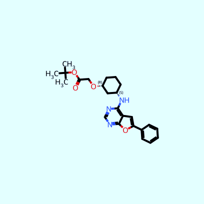 CC(C)(C)OC(=O)CO[C@@H]1CCC[C@H](Nc2ncnc3oc(-c4ccccc4)cc23)C1